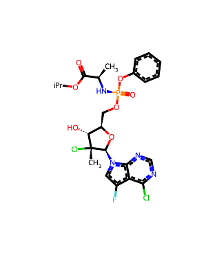 CC(C)OC(=O)[C@@H](C)N[P@@](=O)(OC[C@H]1O[C@@H](n2cc(F)c3c(Cl)ncnc32)[C@](C)(Cl)[C@@H]1O)Oc1ccccc1